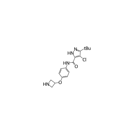 CC(C)(C)c1n[nH]c(C(=O)Nc2ccc(OC3CNC3)cc2)c1Cl